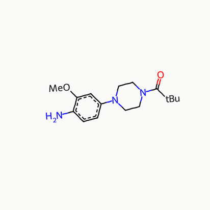 COc1cc(N2CCN(C(=O)C(C)(C)C)CC2)ccc1N